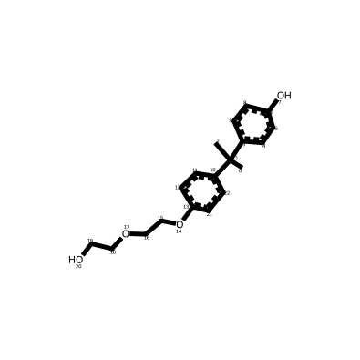 CC(C)(c1ccc(O)cc1)c1ccc(OCCOCCO)cc1